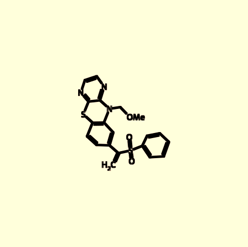 C=C(c1ccc2c(c1)N(COC)c1nccnc1S2)S(=O)(=O)c1ccccc1